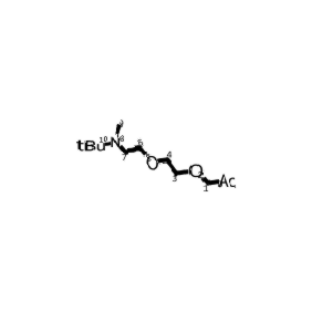 CC(=O)COCCOCCN(C)C(C)(C)C